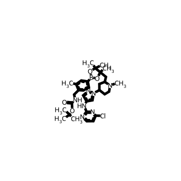 Cc1cc(B2OC(C)(C)C(C)(CC3CC(n4cc(Nc5nccc(Cl)n5)cn4)CCN3C)O2)ccc1CNC(=O)OC(C)(C)C